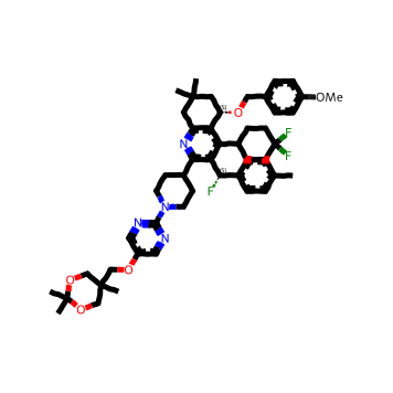 COc1ccc(CO[C@H]2CC(C)(C)Cc3nc(C4CCN(c5ncc(OCC6(C)COC(C)(C)OC6)cn5)CC4)c([C@@H](F)c4ccc(C)cc4)c(C4CCC(F)(F)CC4)c32)cc1